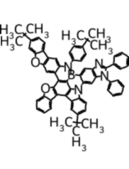 CC(C)(C)c1ccc(N2B3c4cc5nc(-c6ccccc6)n(-c6ccccc6)c5cc4-n4c5ccc(C(C)(C)C)cc5c5c6c(oc7ccccc76)c(c3c54)-c3cc4oc5cc(C(C)(C)C)ccc5c4cc32)cc1